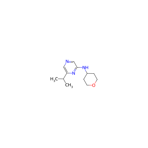 CC(C)c1cncc(NC2CCOCC2)n1